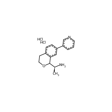 C[C@H](N)C1OCCc2ccc(-c3cccnc3)cc21.Cl.Cl